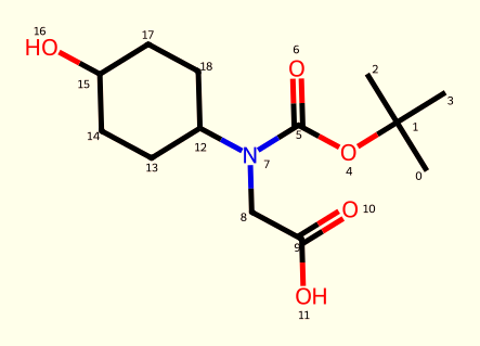 CC(C)(C)OC(=O)N(CC(=O)O)C1CCC(O)CC1